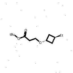 CC[C@H]1C[C@H](OCCC(=O)OC(C)(C)C)C1